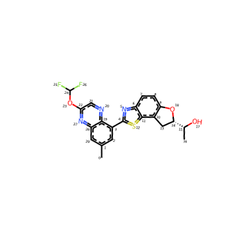 Cc1cc(-c2nc3ccc4c(c3s2)C[C@@H](C(C)O)O4)c2ncc(OC(F)F)nc2c1